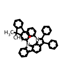 CC1(C)c2ccccc2-c2ccc(-n3c4ccccc4c4ccc5c(-c6ccccc6)c(-c6ccccc6)n(-c6ccccc6)c5c43)cc21